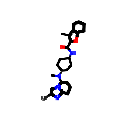 Cc1c(C(=O)N[C@H]2CC[C@@H](N(C)c3cccc4nc(C(F)(F)F)cn34)CC2)oc2ccccc12